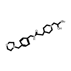 CC(C)(C)C(O)CN1CCC(CC(=O)NCc2ccc(CN3CCOCC3)cc2)CC1